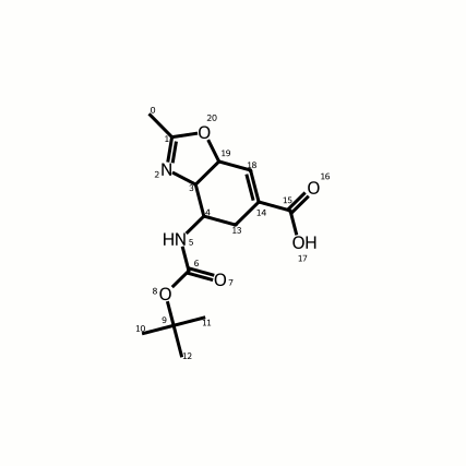 CC1=NC2C(NC(=O)OC(C)(C)C)CC(C(=O)O)=CC2O1